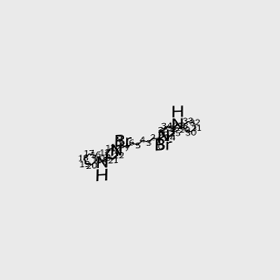 BrC(CCCCCCC(Br)[n+]1ccc(NC2CCCCC2)cc1)[n+]1ccc(NC2CCCCC2)cc1